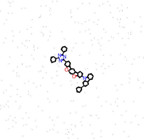 c1ccc(-c2ccc3c4ccccc4n(-c4ccc5c(c4)oc4cc6oc7cc(-c8nc(-c9ccccc9)nc(-c9ccccc9)n8)ccc7c6cc45)c3c2)cc1